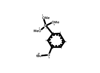 CO[Si](OC)(OC)c1cccc(OC(C)(C)C)c1